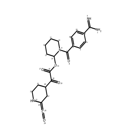 N=C(N)c1ccc(C(=O)N2CCCCC2OC(=O)C(=O)C2CCNC(=C=O)C2)cc1